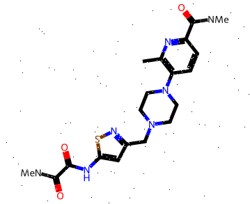 CNC(=O)C(=O)Nc1cc(CN2CCN(c3ccc(C(=O)NC)nc3C)CC2)ns1